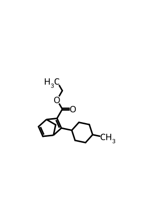 CCOC(=O)C1=C(C2CCC(C)CC2)C2C=CC1C2